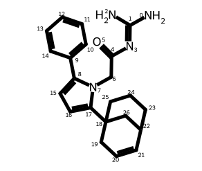 NC(N)=NC(=O)Cn1c(-c2ccccc2)ccc1C12CC=CC(CCC1)C2